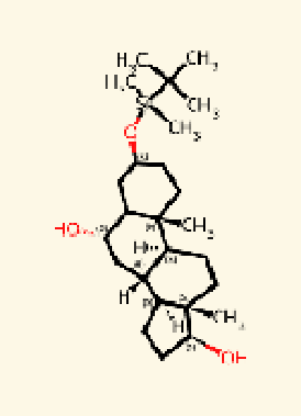 CC(C)(C)[Si](C)(C)O[C@H]1CC[C@@]2(C)C(C1)[C@@H](O)C[C@H]1[C@@H]3CC[C@H](O)[C@@]3(C)CC[C@@H]12